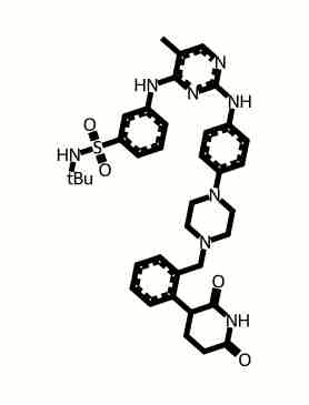 Cc1cnc(Nc2ccc(N3CCN(Cc4ccccc4C4CCC(=O)NC4=O)CC3)cc2)nc1Nc1cccc(S(=O)(=O)NC(C)(C)C)c1